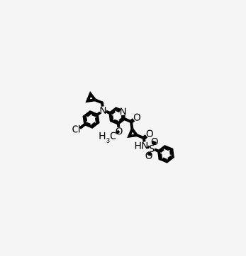 COc1cc(N(CC2CC2)c2ccc(Cl)cc2)cnc1C(=O)C1CC1C(=O)NS(=O)(=O)c1ccccc1